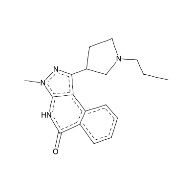 CCCN1CCC(c2nn(C)c3[nH]c(=O)c4ccccc4c23)C1